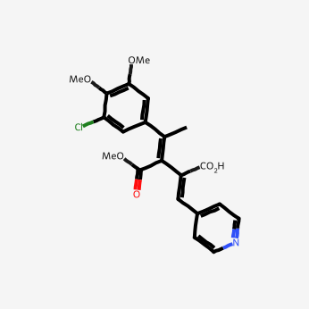 COC(=O)C(C(=Cc1ccncc1)C(=O)O)=C(C)c1cc(Cl)c(OC)c(OC)c1